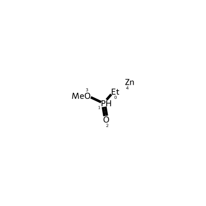 CC[PH](=O)OC.[Zn]